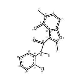 Cc1oc2ncn(C)c(=O)c2c1C(=O)N(C)c1ccccc1Cl